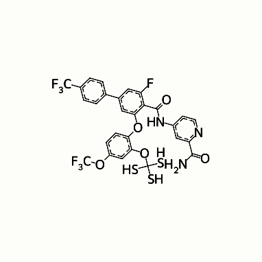 NC(=O)c1cc(NC(=O)c2c(F)cc(-c3ccc(C(F)(F)F)cc3)cc2Oc2ccc(OC(F)(F)F)cc2OC(S)(S)S)ccn1